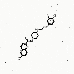 O=C(N[C@H]1CC[C@@H](NCCOc2ccc(Cl)c(F)c2)CC1)c1ccc2cc(Cl)ccc2n1